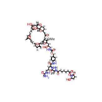 C=C1CC2CC[C@]34C[C@@H](O)C(O3)[C@H]3CC(O4)[C@H]4OC(CCC4O3)CC(=O)CC3[C@H](CC4OC(CCC1O2)C[C@@H](C)C4=C)O[C@H](CC(O)CNC(=O)OCc1ccc(NC(=O)C(CCCNC(N)=O)NC(=O)[C@@H](NC(=O)CCCCCC(=O)ON2C(=O)CCC2O)C(C)C)cc1)[C@@H]3OC